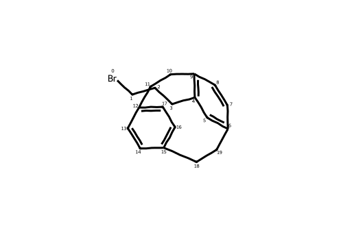 BrCCCc1cc2ccc1CCc1ccc(cc1)CC2